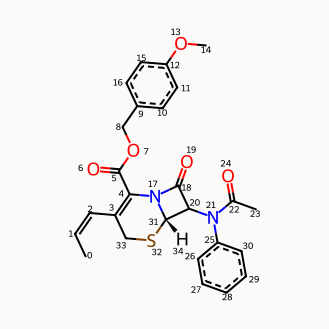 C/C=C\C1=C(C(=O)OCc2ccc(OC)cc2)N2C(=O)C(N(C(C)=O)c3ccccc3)[C@@H]2SC1